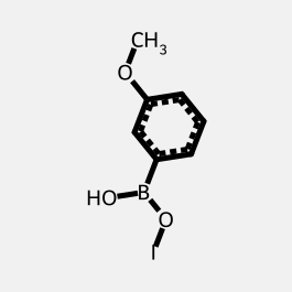 COc1cccc(B(O)OI)c1